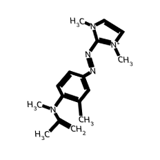 C=C(C)N(C)c1ccc(/N=N/c2n(C)cc[n+]2C)cc1C